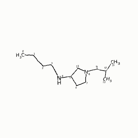 CCCCNC1CCN(CC(C)C)C1